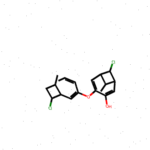 C/C=C\C(=C/C1C(C)CC1Cl)OC1=CC2C(C)C(C=C1O)C2Cl